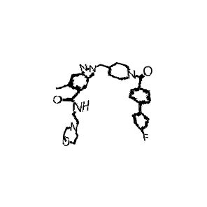 Cc1cc2nn(CC3CCN(C(=O)c4ccc(-c5ccc(F)cc5)cc4)CC3)cc2cc1C(=O)NCCN1CCOCC1